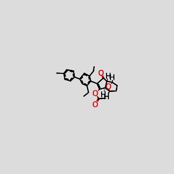 CCc1cc(-c2ccc(C)cc2)cc(CC)c1C1=C(OC(C)=O)[C@H]2[C@@H](C1=O)[C@@H]1CC[C@H]2O1